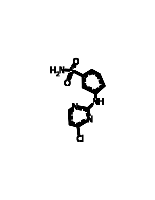 NS(=O)(=O)c1cccc(Nc2nccc(Cl)n2)c1